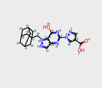 O=C(O)c1cnn(-c2nc(O)c3c(cnn3CC34CC5CC(CC(C5)C3)C4)n2)c1